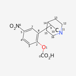 O=C(O)Oc1ccc([N+](=O)[O-])cc1C1CN2CCC1CC2